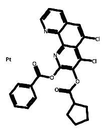 O=C(Oc1nc2c(c(Cl)cc3cccnc32)c(Cl)c1OC(=O)C1CCCC1)c1ccccc1.[Pt]